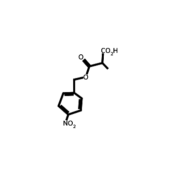 CC(C(=O)O)C(=O)OCc1ccc([N+](=O)[O-])cc1